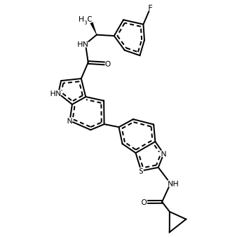 C[C@H](NC(=O)c1c[nH]c2ncc(-c3ccc4nc(NC(=O)C5CC5)sc4c3)cc12)c1cccc(F)c1